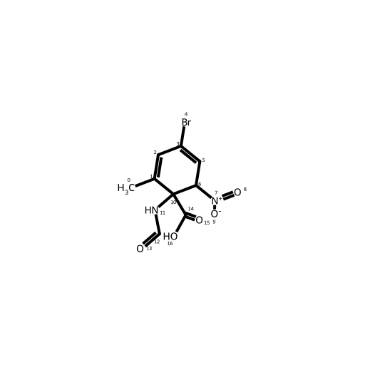 CC1=CC(Br)=CC([N+](=O)[O-])C1(NC=O)C(=O)O